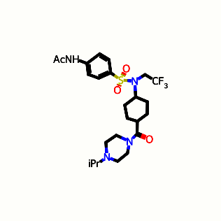 CC(=O)Nc1ccc(S(=O)(=O)N(CC(F)(F)F)C2CCC(C(=O)N3CCN(C(C)C)CC3)CC2)cc1